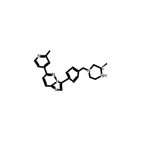 Cc1cc(-c2ccc3ncc(-c4ccc(CN5CCN[C@H](C)C5)cc4)n3n2)ccn1